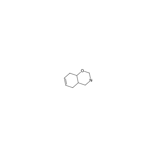 C1=CCC2OC[N]CC2C1